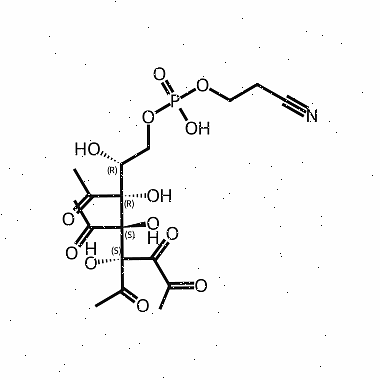 CC(=O)C(=O)[C@@](O)(C(C)=O)[C@](O)(C(C)=O)[C@@](O)(C(C)=O)[C@H](O)COP(=O)(O)OCCC#N